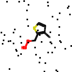 Cc1ccsc1COO